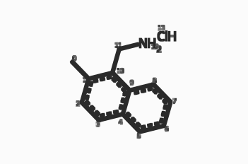 Cc1ccc2ccccc2c1CN.Cl